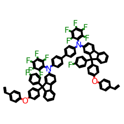 C=Cc1ccc(Oc2ccc(C3(c4ccc(F)cc4)c4ccccc4-c4ccc(N(c5ccc(-c6ccc(N(c7ccc8c(c7)C(c7ccc(F)cc7)(c7ccc(Oc9ccc(C=C)cc9)cc7)c7ccccc7-8)c7c(F)c(F)c(F)c(F)c7F)cc6)cc5)c5c(F)c(F)c(F)c(F)c5F)cc43)cc2)cc1